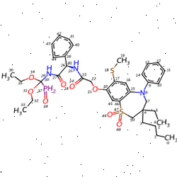 CCCCC1(CC)CN(c2ccccc2)c2cc(SC)c(OCC(=O)N[C@@H](C(=O)NC(OCC)(OCC)[PH2]=O)c3ccccc3)cc2S(=O)(=O)C1